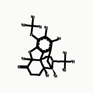 [2H]c1c([2H])c(OC([2H])([2H])[2H])c2c3c1C[C@@]1([2H])N(C([2H])([2H])[2H])CC[C@@]34C([2H])(O2)C(=O)CC[C@@]14[2H]